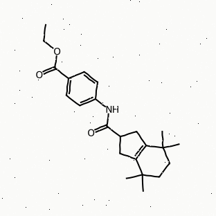 CCOC(=O)c1ccc(NC(=O)C2CC3=C(C2)C(C)(C)CCC3(C)C)cc1